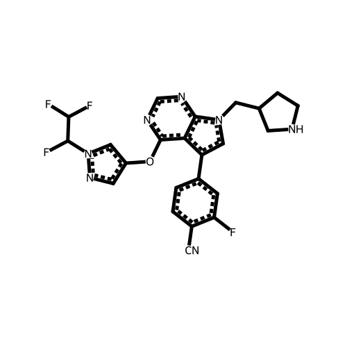 N#Cc1ccc(-c2cn(CC3CCNC3)c3ncnc(Oc4cnn(C(F)C(F)F)c4)c23)cc1F